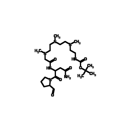 CN(CCNC(=O)OC(C)(C)C)CCN(C)CCN(C)CC(=O)NC(CC(N)=O)C(=O)N1CCCC1C=O